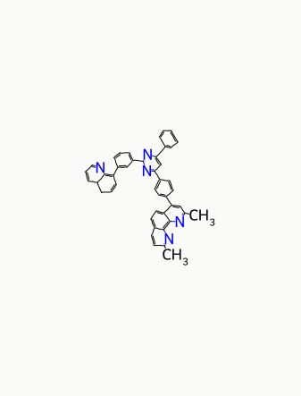 Cc1ccc2ccc3c(-c4ccc(-c5cc(-c6ccccc6)nc(-c6cccc(C7=C8N=CC=CC8CC=C7)c6)n5)cc4)cc(C)nc3c2n1